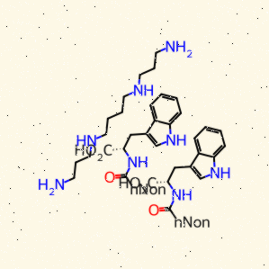 CCCCCCCCCC(=O)N[C@@H](Cc1c[nH]c2ccccc12)C(=O)O.CCCCCCCCCC(=O)N[C@@H](Cc1c[nH]c2ccccc12)C(=O)O.NCCCNCCCCNCCCN